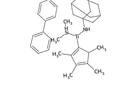 CC1=C(C)C(C)[C]([Ti]([NH]C23CC4CC(CC(C4)C2)C3)[SiH](C)C)=C1C.c1ccc(-c2ccccc2)cc1